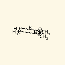 CCCCCCCCCCCCCCCCCC(=O)OCC.CCCCCCCCCCCCCCCCCC1=[N+](CC)CCN1.[Br-]